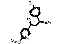 CCCCC(CC(=O)c1ccc(OC)nc1)c1ccc(Br)cc1